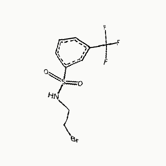 O=S(=O)(NCCBr)c1cccc(C(F)(F)F)c1